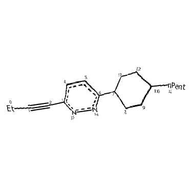 CCC#Cc1ccc(C2CCC(CCCCC)CC2)nn1